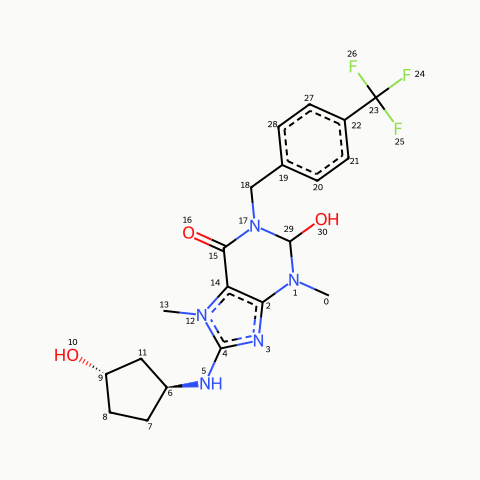 CN1c2nc(N[C@H]3CC[C@H](O)C3)n(C)c2C(=O)N(Cc2ccc(C(F)(F)F)cc2)C1O